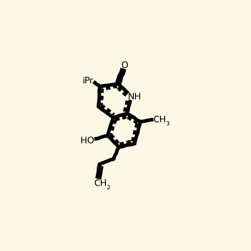 C=CCc1cc(C)c2[nH]c(=O)c(C(C)C)cc2c1O